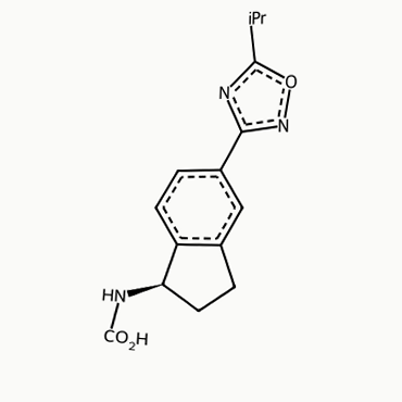 CC(C)c1nc(-c2ccc3c(c2)CC[C@H]3NC(=O)O)no1